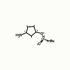 CCCC[PH](=O)OC1CCC(N)C1